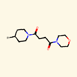 CC(C)C1CCN(C(=O)CCC(=O)N2CCOCC2)CC1